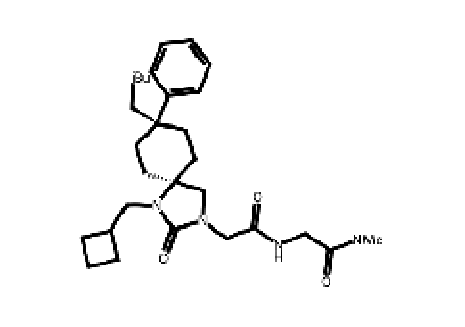 CCC(C)C[C@]1(c2ccccc2)CC[C@]2(CC1)CN(CC(=O)NCC(=O)NC)C(=O)N2CC1CCC1